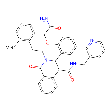 COc1ccccc1CCN1C(=O)c2ccccc2C(C(=O)NCc2cccnc2)C1c1ccccc1OCC(N)=O